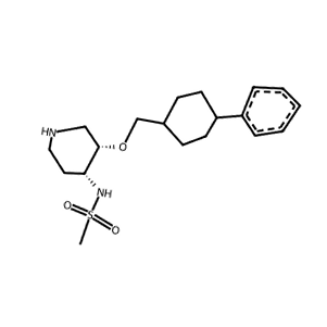 CS(=O)(=O)N[C@@H]1CCNC[C@@H]1OCC1CCC(c2ccccc2)CC1